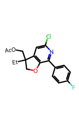 CCC1(COC(C)=O)COc2c1cc(Cl)nc2-c1ccc(F)cc1